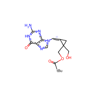 CC(C)(C)C(=O)OCC1(CO)C/C1=C/n1cnc2c(=O)[nH]c(N)nc21